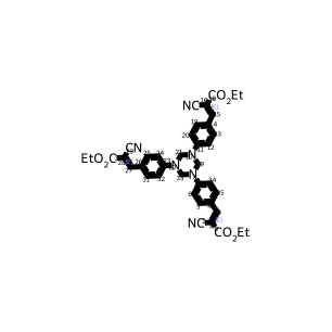 CCOC(=O)/C(C#N)=C/c1ccc(N2CN(c3ccc(/C=C(\C#N)C(=O)OCC)cc3)CN(c3ccc(/C=C(\C#N)C(=O)OCC)cc3)C2)cc1